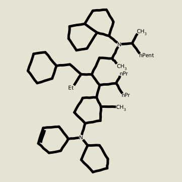 CCCCCC(C)N(C(C)CC(C(CC)CC1CCCCC1)C(C(CCC)CCC)C1CCC(N(C2CC=CCC2)C2CCCCC2)CC1C)C1CCCC2CCCCC21